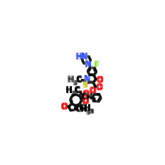 C=C[C@@]1(C)CC/C=C2/C(=O)CCC2(C)[C@H](C)[C@H]1OC(=O)c1ccccc1OC(=O)c1c2n(c3cc(N4CCNCC4)c(F)cc3c1=O)C(C)S2